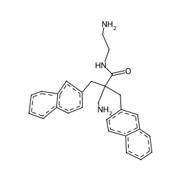 NCCNC(=O)C(CN)(Cc1ccc2ccccc2c1)Cc1ccc2ccccc2c1